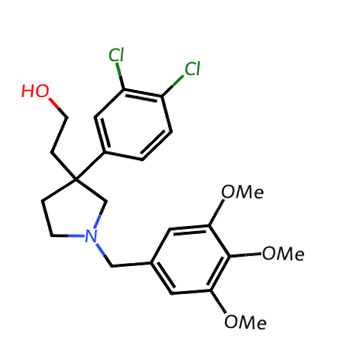 COc1cc(CN2CCC(CCO)(c3ccc(Cl)c(Cl)c3)C2)cc(OC)c1OC